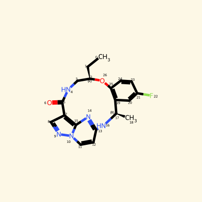 CC[C@@H]1CNC(=O)c2cnn3ccc(nc23)N[C@H](C)c2cc(F)ccc2O1